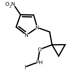 O=[N+]([O-])c1cnn(CC2(OPI)CC2)c1